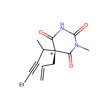 C=CC[C@@]1(C(C)C#CCC)C(=O)NC(=O)N(C)C1=O